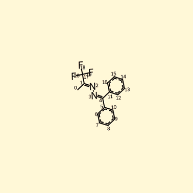 C/C(=N\N=C(c1ccccc1)c1ccccc1)C(F)(F)F